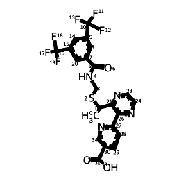 CC(SCNC(=O)c1cc(C(F)(F)F)cc(C(F)(F)F)c1)c1nccnc1-c1ccc(C(=O)O)cn1